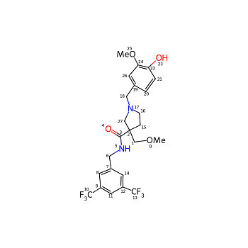 COCC1(C(=O)NCc2cc(C(F)(F)F)cc(C(F)(F)F)c2)CCN(Cc2ccc(O)c(OC)c2)C1